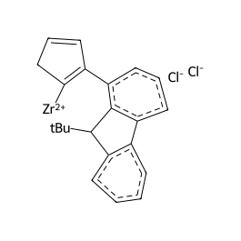 CC(C)(C)C1c2ccccc2-c2cccc(C3=[C]([Zr+2])CC=C3)c21.[Cl-].[Cl-]